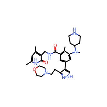 Cc1cc(C)c(CNC(=O)c2cc(-c3c[nH]nc3CCN3CCOCC3)cc(N(C)C3CCNCC3)c2C)c(=O)[nH]1